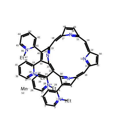 CC[n+]1ccccc1C1=CC2=CC3=NC(=CC4=NC(=CC5=NC(=C(c6cccc[n+]6CC)C1=N2)C(c1cccc[n+]1CC)=C5c1cccc[n+]1CC)C=C4)C=C3.[Mn]